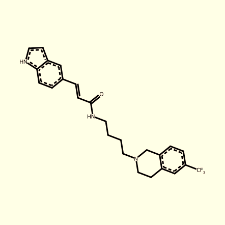 O=C(C=Cc1ccc2[nH]ccc2c1)NCCCCN1CCc2cc(C(F)(F)F)ccc2C1